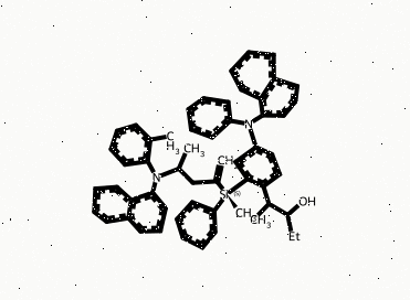 C=C(CC(C)N(c1ccccc1C)c1cccc2ccccc12)[Si@@](C)(c1ccccc1)c1cc(N(c2ccccc2)c2cccc3ccccc23)ccc1C(C)C(O)CC